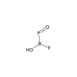 O=PB(O)F